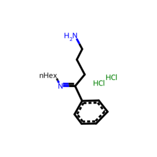 CCCCCCN=C(CCCN)c1ccccc1.Cl.Cl